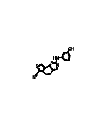 N#Cc1scc2c1CCc1cnc(Nc3cccc(O)c3)nc1-2